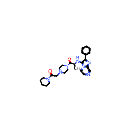 CC(Nc1c(-c2ccccc2)nc2cnccn12)C(=O)N1CCN(CC(=O)N2CCCCC2)CC1